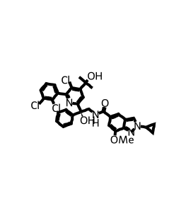 COc1cc(C(=O)NC[C@@](O)(c2ccccc2)c2cc(C(C)(C)O)c(Cl)c(-c3cccc(Cl)c3Cl)n2)cc2cn(C3CC3)nc12